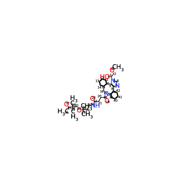 COCC(O)n1cnc2c1-c1ccccc1CN(C(=O)CCC(=O)NCCC(C)(C)OCC(C)(C)C(C)=O)c1ccccc1-2